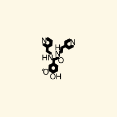 COc1cc(C(NCCc2cccnc2)C(=O)NCCc2ccncc2)ccc1O